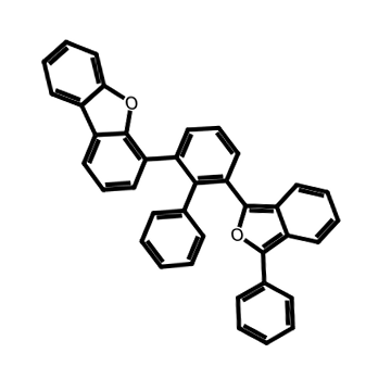 c1ccc(-c2c(-c3oc(-c4ccccc4)c4ccccc34)cccc2-c2cccc3c2oc2ccccc23)cc1